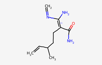 C=CC(C)CC/C(C(N)=O)=C(/N)N=C